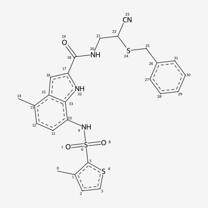 Cc1ccsc1S(=O)(=O)Nc1ccc(C)c2cc(C(=O)NCC(C#N)SCc3ccccc3)[nH]c12